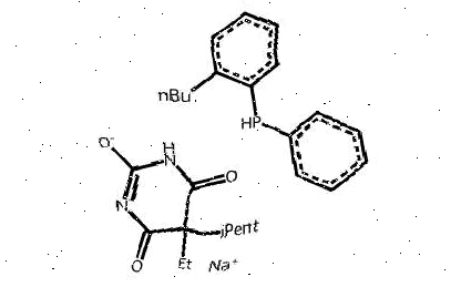 CCCC(C)C1(CC)C(=O)N=C([O-])NC1=O.CCCCc1ccccc1Pc1ccccc1.[Na+]